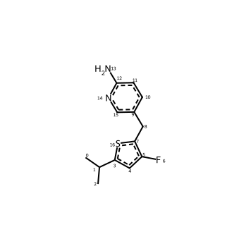 CC(C)c1cc(F)c(Cc2ccc(N)nc2)s1